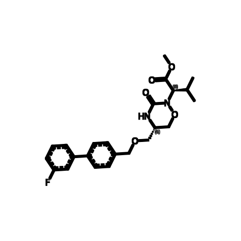 COC(=O)[C@@H](C(C)C)N1OC[C@H](COCc2ccc(-c3cccc(F)c3)cc2)NC1=O